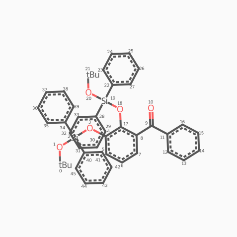 CC(C)(C)O[Si](Oc1cccc(C(=O)c2ccccc2)c1O[Si](OC(C)(C)C)(c1ccccc1)c1ccccc1)(c1ccccc1)c1ccccc1